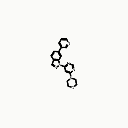 c1cncc(-c2ccc3cnn(-c4cc(N5CCOCC5)ncn4)c3c2)c1